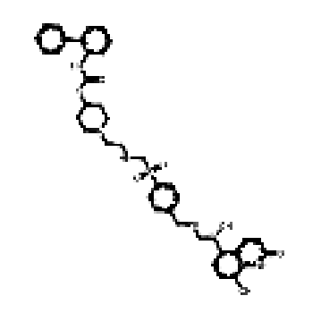 O=C(Nc1ccccc1-c1ccccc1)OC1CCN(CCNCS(=O)(=O)c2ccc(CNC[C@@H](O)c3ccc(O)c4[nH]c(=O)ccc34)cc2)CC1